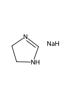 C1=NCCN1.[NaH]